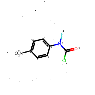 O=C(Cl)N(F)c1ccc([N+](=O)[O-])cc1